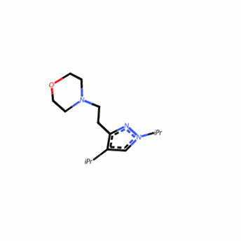 CC(C)c1cn(C(C)C)nc1CCN1CCOCC1